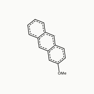 COc1ccc2[c]c3ccccc3cc2c1